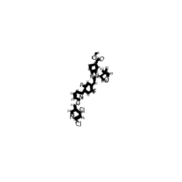 COC(=O)c1ccc2nc(Cc3cc(F)c(-c4cccc(OCc5cnc(Cl)cc5Cl)n4)cc3F)n([C@@H]3COCC3(C)C)c2c1